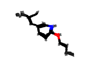 COCCOc1ccc(C=C(C)[N+](=O)[O-])cn1